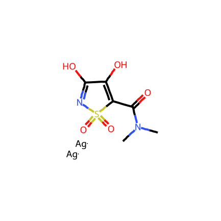 CN(C)C(=O)C1=C(O)C(O)=NS1(=O)=O.[Ag].[Ag]